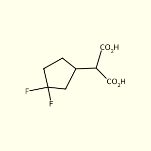 O=C(O)C(C(=O)O)C1CCC(F)(F)C1